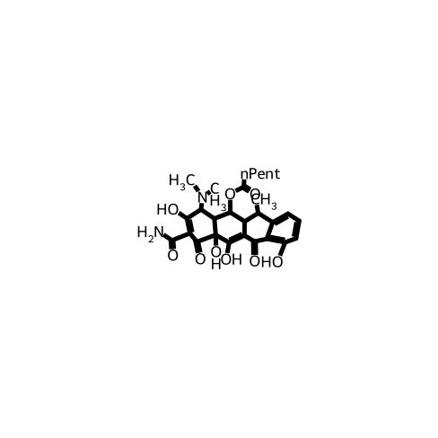 CCCCCC(=O)OC1C2C(=C(O)C3(O)C(=O)C(C(N)=O)=C(O)C(N(C)C)C13)C(=O)c1c(O)cccc1C2C